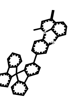 C=c1cc(C)n2c3ccc(-c4ccc5c(c4)C4(c6ccccc6-c6ccccc64)c4ccccc4-5)cc3sc3cccc1c3-2